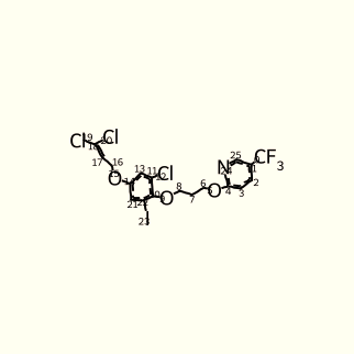 FC(F)(F)c1ccc(OCCCOc2c(Cl)cc(OCC=C(Cl)Cl)cc2I)nc1